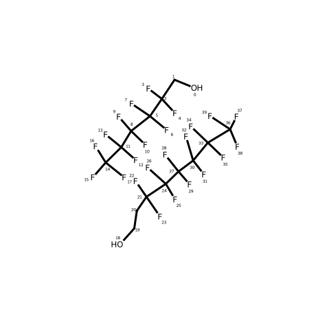 OCC(F)(F)C(F)(F)C(F)(F)C(F)(F)C(F)(F)F.OCCC(F)(F)C(F)(F)C(F)(F)C(F)(F)C(F)(F)C(F)(F)F